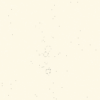 Cc1nonc1C(=O)N[C@H](c1nc2ccc([C@H](NC(=O)CC3CC(F)(F)C3)C3CC3)cc2[nH]1)C1CCC2(CC1)CC2